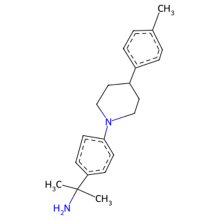 Cc1ccc(C2CCN(c3ccc(C(C)(C)N)cc3)CC2)cc1